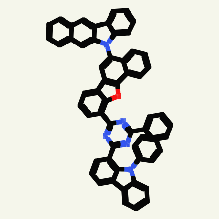 c1ccc(-c2nc(-c3cccc4c3oc3c5ccccc5c(-n5c6ccccc6c6cc7ccccc7cc65)cc43)nc(-c3cccc4c5ccccc5n(-c5ccccc5)c34)n2)cc1